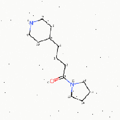 O=C(CCCC1CC[N]CC1)N1CCCC1